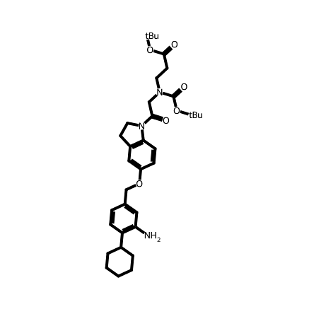 CC(C)(C)OC(=O)CCN(CC(=O)N1CCc2cc(OCc3ccc(C4CCCCC4)c(N)c3)ccc21)C(=O)OC(C)(C)C